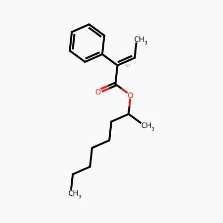 C/C=C(/C(=O)OC(C)CCCCCC)c1ccccc1